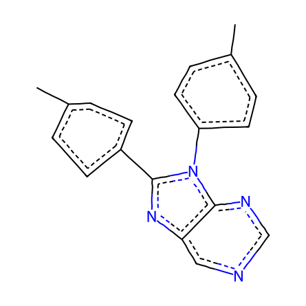 Cc1ccc(-c2nc3cncnc3n2-c2ccc(C)cc2)cc1